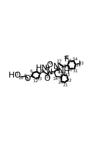 O=C1N[C@H](c2ccc(OCCO)cc2)C(=O)N1C(Cc1ccccc1)c1ncc(-c2ccc(I)cc2F)[nH]1